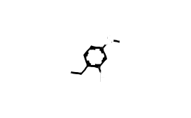 CCc1ccc(SC)cc1F